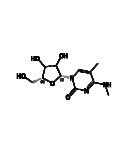 CNc1nc(=O)n([C@@H]2O[C@H](CO)C(O)C2O)cc1C